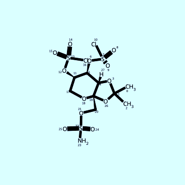 CC1(C)O[C@H]2[C@H](OS(=O)(=O)Cl)[C@H](OS(=O)(=O)Cl)CO[C@@]2(COS(N)(=O)=O)O1